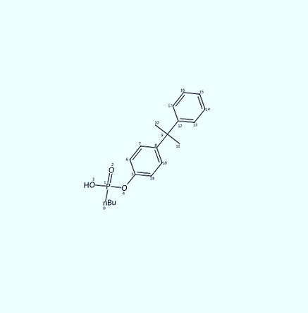 CCCCP(=O)(O)Oc1ccc(C(C)(C)c2ccccc2)cc1